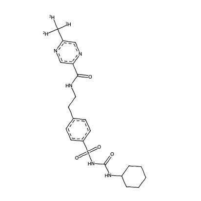 [2H]C([2H])([2H])c1cnc(C(=O)NCCc2ccc(S(=O)(=O)NC(=O)NC3CCCCC3)cc2)cn1